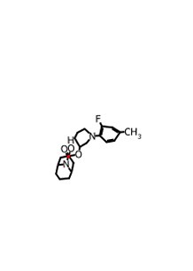 Cc1ccc(N2CCCC(OC(=O)N3C4CCCC3CC(O)C4)C2)c(F)c1